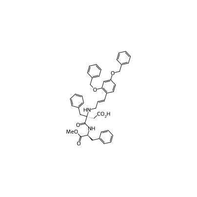 COC(=O)[C@H](Cc1ccccc1)NC(=O)[C@@](CC(=O)O)(Cc1ccccc1)NCC=Cc1ccc(OCc2ccccc2)cc1OCc1ccccc1